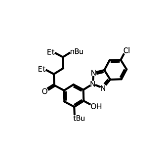 CCCCC(CC)CC(CC)C(=O)c1cc(-n2nc3ccc(Cl)cc3n2)c(O)c(C(C)(C)C)c1